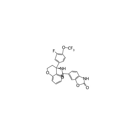 O=C(N[C@]1(c2ccc(OC(F)(F)F)c(F)c2)CCOc2cccnc21)c1ccc2[nH]c(=O)oc2c1